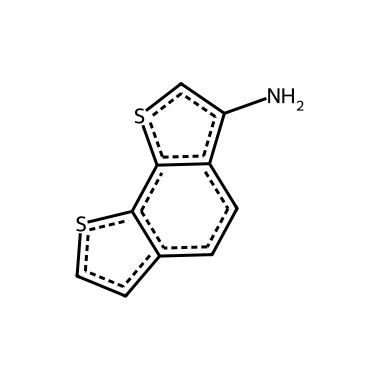 Nc1csc2c1ccc1ccsc12